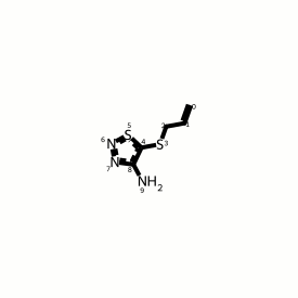 C=CCSc1snnc1N